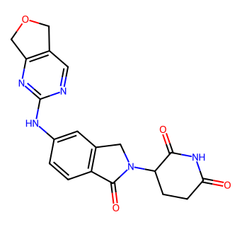 O=C1CCC(N2Cc3cc(Nc4ncc5c(n4)COC5)ccc3C2=O)C(=O)N1